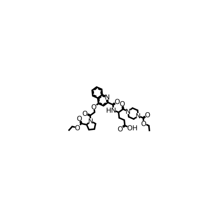 CCOC(=O)C1CCCN1C(=O)COc1cc(C(=O)NC(CCC(=O)O)C(=O)N2CCN(C(=O)OCC)CC2)nc2ccccc12